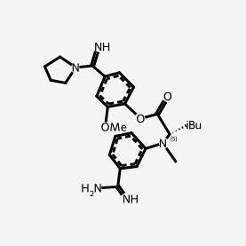 CCC(C)[C@@H](C(=O)Oc1ccc(C(=N)N2CCCC2)cc1OC)N(C)c1cccc(C(=N)N)c1